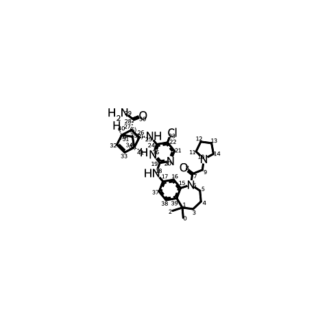 CC1(C)CCCN(C(=O)CN2CCCC2)c2cc(Nc3ncc(Cl)c(N[C@H]4[C@@H](C(N)=O)[C@@H]5C=C[C@H]4C5)n3)ccc21